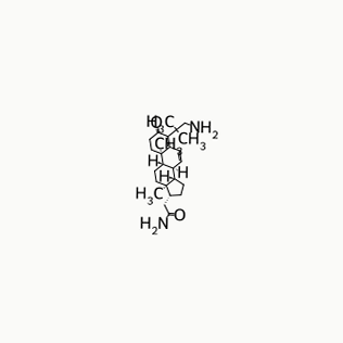 CC(C)(CN)C1=C2C=C[C@H]3[C@@H]4CC[C@H](CC(N)=O)[C@@]4(C)CC[C@@H]3[C@@]2(C)CCC1=O